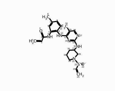 C=CC(=O)Nc1cc(C)ccc1Nc1nc(NC2CCCN([S+]([O-])C=C)C2)ncc1C(F)(F)F